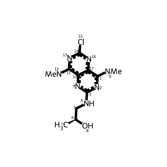 CNc1nc(NC[C@H](C)O)nc2c(NC)nc(Cl)nc12